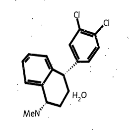 CN[C@H]1CC[C@@H](c2ccc(Cl)c(Cl)c2)c2ccccc21.O